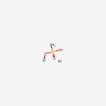 CCOP(C)(=O)O.[Zn]